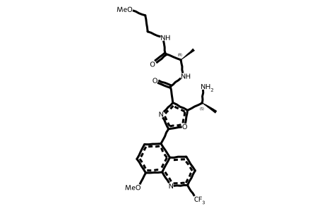 COCCNC(=O)[C@@H](C)NC(=O)c1nc(-c2ccc(OC)c3nc(C(F)(F)F)ccc23)oc1[C@H](C)N